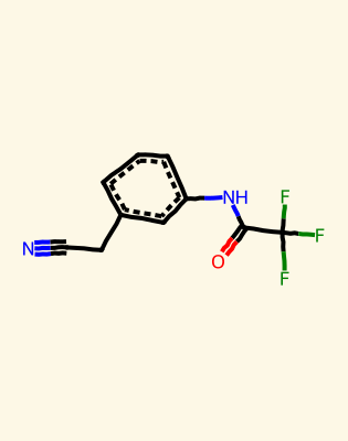 N#CCc1cccc(NC(=O)C(F)(F)F)c1